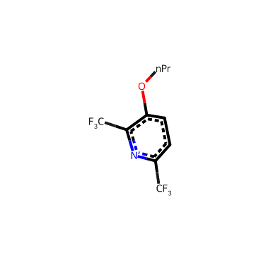 CCCOc1ccc(C(F)(F)F)nc1C(F)(F)F